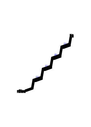 [CH2]CCCCCC/C=C/C=C/C=C/C=C/CC